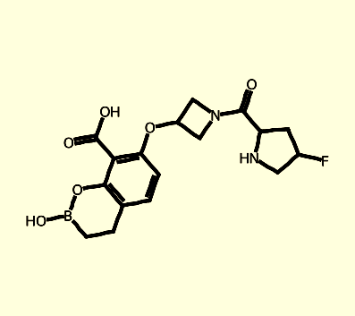 O=C(O)c1c(OC2CN(C(=O)C3CC(F)CN3)C2)ccc2c1OB(O)CC2